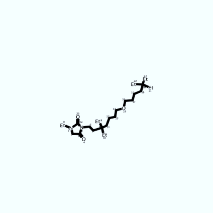 CCN1CC(=O)N(CCC(CC)(CC)CCCCOCCCCC(CC)(CC)CC)C1=O